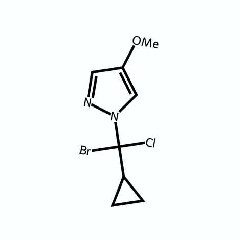 COc1cnn(C(Cl)(Br)C2CC2)c1